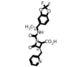 C[C@@H](NC(=O)N1C(=O)[C@H](Cc2ccccn2)C1C(=O)O)c1ccc2c(c1)OC(F)(F)O2